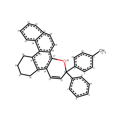 Cc1ccc(C2(c3ccccc3)C=Cc3c4c(c5c(ccc6ccccc65)c3O2)CCCC4)cc1